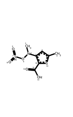 Cc1cc(N(C)O[SH](=O)=O)c(C(=O)O)s1